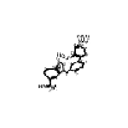 N=C(N)c1ccc2c(c1)C(Cc1cccc(-c3ccc(C(=O)O)cc3C(=O)O)c1)CN2